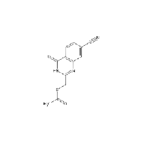 CC(=O)SCc1nc2cc(C#N)ccc2c(=O)[nH]1